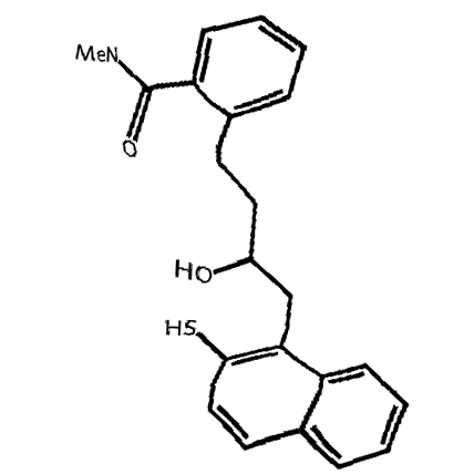 CNC(=O)c1ccccc1CCC(O)Cc1c(S)ccc2ccccc12